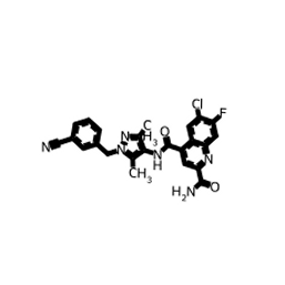 Cc1nn(Cc2cccc(C#N)c2)c(C)c1NC(=O)c1cc(C(N)=O)nc2cc(F)c(Cl)cc12